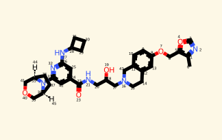 Cc1ncoc1COc1ccc2c(c1)CCN(CC(O)CNC(=O)c1cc(NC3CCC3)nc(N3[C@@H]4CC[C@H]3COC4)c1)C2